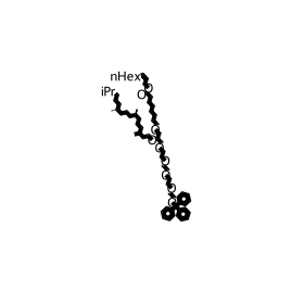 CCCCCC/C=C\COC(=O)CCCCCCCOCC(COCCOCCOCCOCCOC(c1ccccc1)(c1ccccc1)c1ccccc1)OCCC(C)CCC[C@H](C)CCC[C@H](C)CCCC(C)C